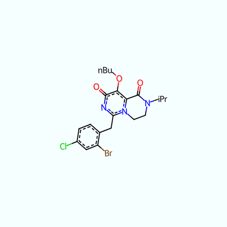 CCCCOc1c2n(c(Cc3ccc(Cl)cc3Br)nc1=O)CCN(C(C)C)C2=O